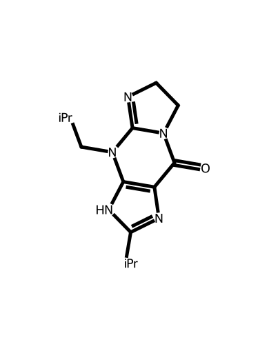 CC(C)CN1C2=NCCN2C(=O)c2nc(C(C)C)[nH]c21